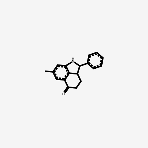 Cc1cc2c3c(c1)C(=O)CCC3C(c1ccccc1)N2